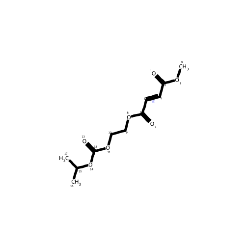 COC(=O)/C=C/C(=O)OCCOC(=O)OC(C)C